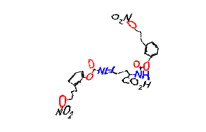 O=C(NCCCCC(NC(=O)Oc1cccc(CCCO[N+](=O)[O-])c1)C(=O)O)Oc1cccc(CCCO[N+](=O)[O-])c1